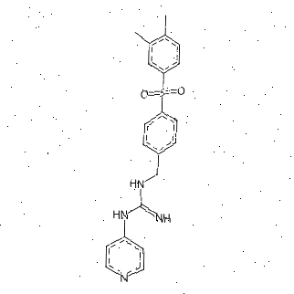 Cc1ccc(S(=O)(=O)c2ccc(CNC(=N)Nc3ccncc3)cc2)cc1C